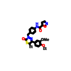 CCOc1ccc(C2=NN(Cc3ccc(NC(=O)c4ccno4)cc3)C(=O)SC2CC)cc1OC